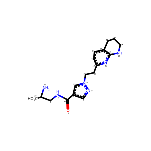 NC(CNC(=O)c1cnn(CCc2ccc3c(n2)NCCC3)c1)C(=O)O